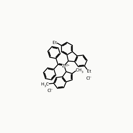 CCc1ccc2c(c1)[CH]([Zr+2](=[C](c1ccccc1)c1ccccc1)[CH]1C(C)=Cc3ccc(C)cc31)c1cc(CC)ccc1-2.[Cl-].[Cl-]